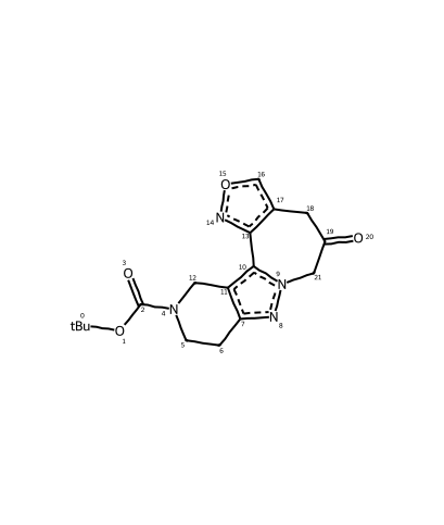 CC(C)(C)OC(=O)N1CCc2nn3c(c2C1)-c1nocc1CC(=O)C3